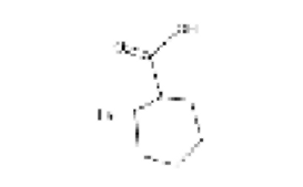 O=C(O)C1CCCCC1.[La]